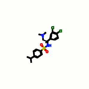 CC(C)c1ccc(S(=O)(=O)N[C@H](CN(C)C)c2ccc(Cl)c(Cl)c2)cc1